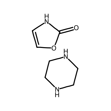 C1CNCCN1.O=c1[nH]cco1